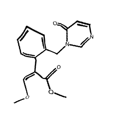 COC=C(C(=O)OC)c1ccccc1Cn1cnccc1=O